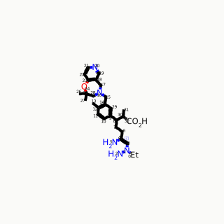 CCN(N)/C=C(\N)CCC(c1ccc(C)c(CN2Cc3cnccc3OC(C)(C)C2)c1)C(C)C(=O)O